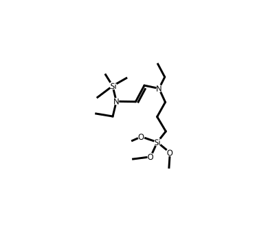 CCN(C=CN(CC)[Si](C)(C)C)CCC[Si](OC)(OC)OC